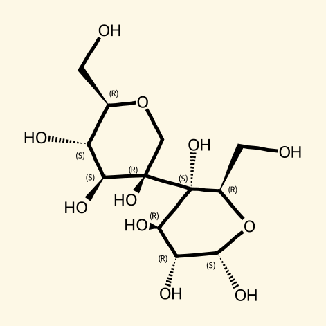 OC[C@H]1OC[C@](O)([C@]2(O)[C@H](O)[C@@H](O)[C@@H](O)O[C@@H]2CO)[C@@H](O)[C@@H]1O